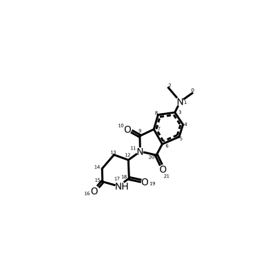 CN(C)c1ccc2c(c1)C(=O)N(C1CCC(=O)NC1=O)C2=O